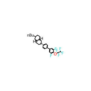 CCCCC1CC[C@@H]2C[C@H](c3ccc(-c4cc(F)c(OC(F)(F)C(F)F)c(F)c4)cc3)CC[C@@H]2C1